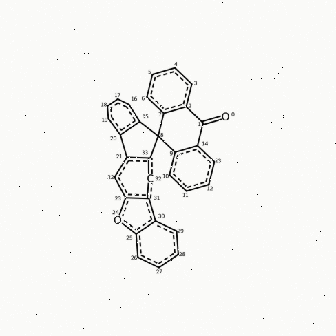 O=C1c2ccccc2C2(c3ccccc31)c1ccccc1-c1cc3oc4ccccc4c3cc12